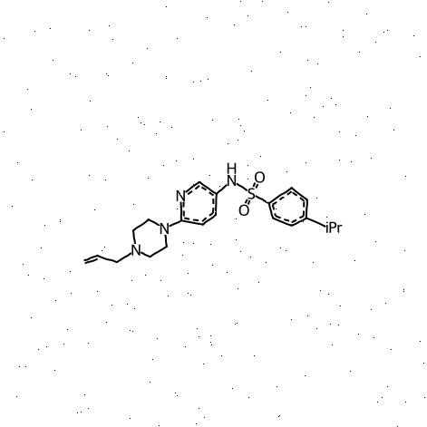 C=CCN1CCN(c2ccc(NS(=O)(=O)c3ccc(C(C)C)cc3)cn2)CC1